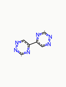 [c]1nncc(-c2cnn[c]n2)n1